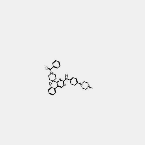 CN1CCN(C2=CC=C(Nc3ncc4c(n3)C3(CCN(C(=O)c5ccccc5)CC3)Oc3ccccc3-4)CC2)CC1